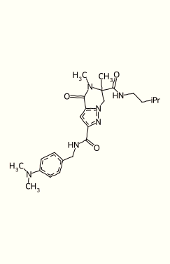 CC(C)CCNC(=O)C1(C)Cn2nc(C(=O)NCc3ccc(N(C)C)cc3)cc2C(=O)N1C